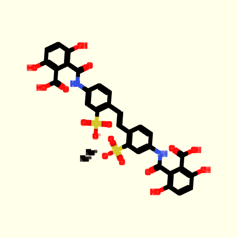 O=C(O)c1c(O)ccc(O)c1C(=O)Nc1ccc(C=Cc2ccc(NC(=O)c3c(O)ccc(O)c3C(=O)O)cc2S(=O)(=O)[O-])c(S(=O)(=O)[O-])c1.[Na+].[Na+]